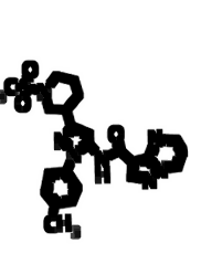 Cc1ccc(-n2nc(C3CCCN(S(C)(=O)=O)C3)cc2NC(=O)c2cnn3cccnc23)cc1